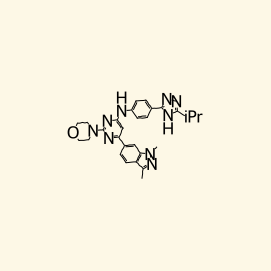 Cc1nn(C)c2cc(-c3cc(Nc4ccc(-c5nnc(C(C)C)[nH]5)cc4)nc(N4CCOCC4)n3)ccc12